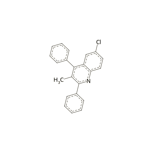 Cc1c(-c2ccccc2)nc2ccc(Cl)cc2c1-c1ccccc1